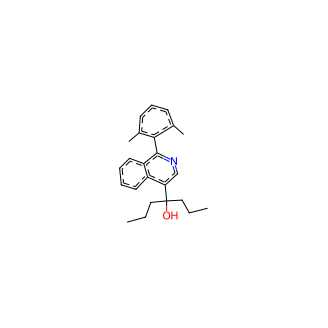 CCCC(O)(CCC)c1cnc(-c2c(C)cccc2C)c2ccccc12